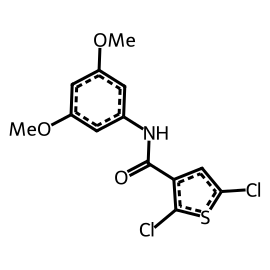 COc1cc(NC(=O)c2cc(Cl)sc2Cl)cc(OC)c1